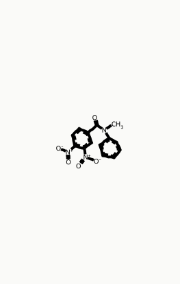 CN(C(=O)c1ccc([N+](=O)[O-])c([N+](=O)[O-])c1)c1ccccc1